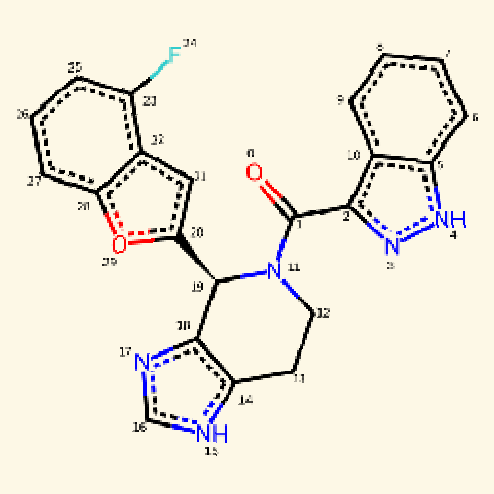 O=C(c1n[nH]c2ccccc12)N1CCc2[nH]cnc2[C@H]1c1cc2c(F)cccc2o1